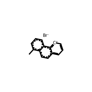 Cc1cccc2c3c(ccc12)=CC=C[C+]=3.[Br-]